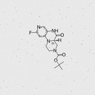 CC(C)(C)OC(=O)N1CCN2c3cc(F)ncc3NC(=O)[C@@H]2C1